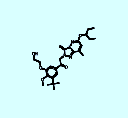 C=C1N(CC(=O)c2cc(OCCO)c(OC)c(C(C)(C)C)c2)N=C2C(C)=CC(OC(CC)CC)=NN12